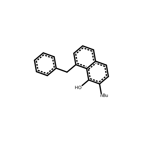 CCCCc1ccc2cccc(Cc3ccccc3)c2c1O